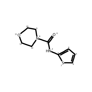 O=C(Nc1cccs1)N1CCOCC1